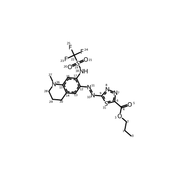 CCCOC(=O)c1nnc(N=Nc2cc3c(cc2NS(=O)(=O)C(F)(F)F)N(C)CCC3)s1